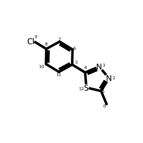 Cc1nnc(-c2ccc(Cl)cc2)s1